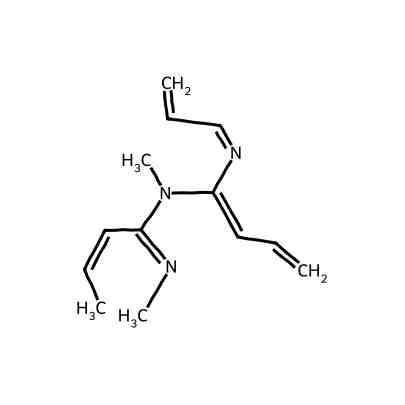 C=C/C=N\C(=C/C=C)N(C)C(/C=C\C)=N/C